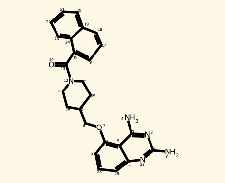 Nc1nc(N)c2c(OCC3CCN(C(=O)c4cccc5ccccc45)CC3)cccc2n1